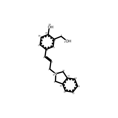 OCc1cc(/C=C/CN2Cc3ccccc3C2)ccc1O